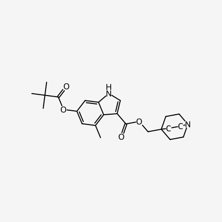 Cc1cc(OC(=O)C(C)(C)C)cc2[nH]cc(C(=O)OCC34CCN(CC3)CC4)c12